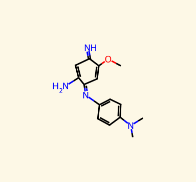 COC1=CC(=Nc2ccc(N(C)C)cc2)C(N)=CC1=N